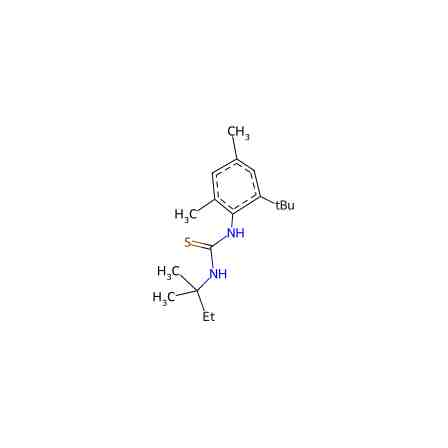 CCC(C)(C)NC(=S)Nc1c(C)cc(C)cc1C(C)(C)C